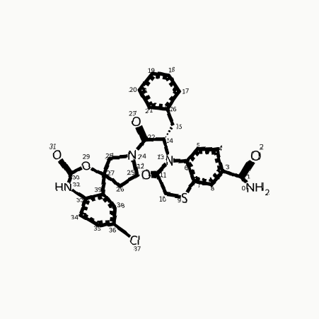 NC(=O)c1ccc2c(c1)SCC(=O)N2[C@@H](Cc1ccccc1)C(=O)N1CCC2(C1)OC(=O)Nc1ccc(Cl)cc12